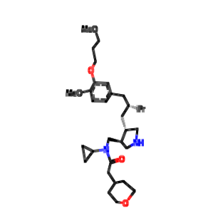 COCCCOc1cc(C[C@@H](C[C@@H]2CNC[C@H]2CN(C(=O)CC2CCOCC2)C2CC2)C(C)C)ccc1OC